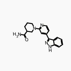 NC(=O)C1CCCN(c2cc(-c3n[nH]c4ccccc34)ccn2)C1